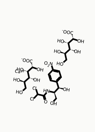 O=C(N[C@H](CO)[C@H](O)c1ccc([N+](=O)[O-])cc1)C(Cl)Cl.O=C([O-])[C@H](O)[C@@H](O)[C@H](O)[C@H](O)CO.O=C([O-])[C@H](O)[C@@H](O)[C@H](O)[C@H](O)CO.[Ca+2]